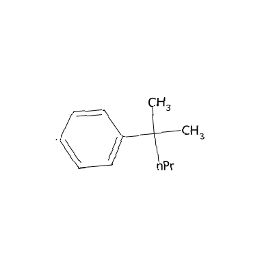 CCCC(C)(C)c1cc[c]cc1